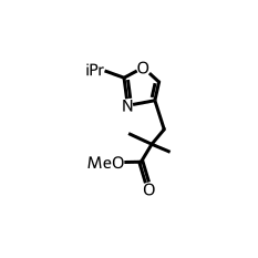 COC(=O)C(C)(C)Cc1coc(C(C)C)n1